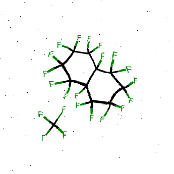 FC(F)(F)F.FC1(F)C(F)(F)C(F)(F)C2(F)C(F)(F)C(F)(F)C(F)(F)C(F)(F)C2(F)C1(F)F